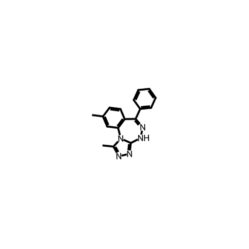 Cc1ccc2c(c1)-n1c(C)nnc1NN=C2c1ccccc1